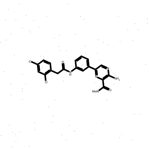 CNC(=O)c1nc(-c2cccc(NC(=O)Cc3ccc(Cl)cc3Cl)c2)cnc1N